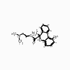 CN(C)CCOC(=O)C1(C)Oc2cccc(O)c2-c2ccccc21